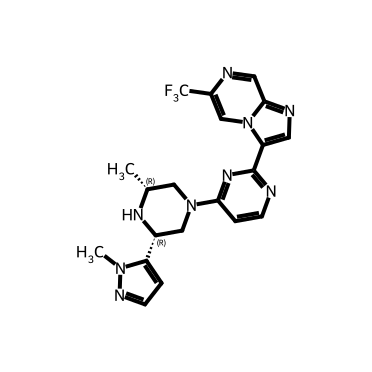 C[C@@H]1CN(c2ccnc(-c3cnc4cnc(C(F)(F)F)cn34)n2)C[C@H](c2ccnn2C)N1